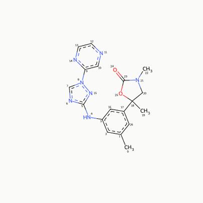 Cc1cc(Nc2ncn(-c3cnccn3)n2)cc(C2(C)CN(C)C(=O)O2)c1